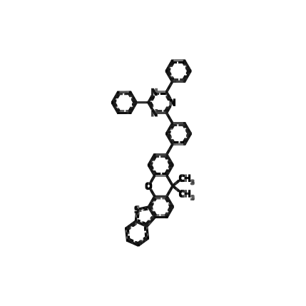 CC1(C)c2cc(-c3cccc(-c4nc(-c5ccccc5)nc(-c5ccccc5)n4)c3)ccc2Oc2c1ccc1c2sc2ccccc21